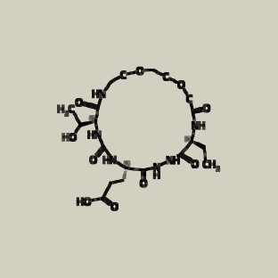 CC[C@@H]1NC(=O)COCCOCCNC(=O)[C@H](C(C)O)NC(=O)N[C@@H](CCC(=O)O)C(=O)NNC1=O